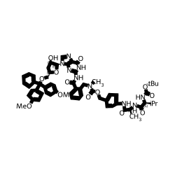 COc1ccc(C(OC[C@@H]2C[C@@H](O)[C@H](n3cnc4c(=O)[nH]c(NC(=O)c5ccccc5CN(C)C(=O)OCc5ccc(NC(=O)[C@H](C)NC(=O)[C@@H](NC(=O)OC(C)(C)C)C(C)C)cc5)nc43)O2)(c2ccccc2)c2ccc(OC)cc2)cc1